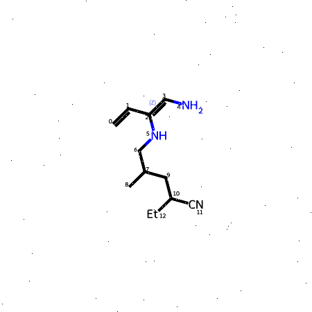 C=C/C(=C/N)NCC(C)CC(C#N)CC